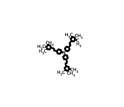 Cc1cc(/C=C/c2ccc(N(c3ccc(/C=C/c4cc(C)c(C)c(C)c4)cc3)c3ccc(/C=C/c4cc(C)c(C)c(C)c4)cc3)cc2)cc(C)c1C